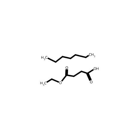 CCCCCCC.CCOC(=O)CCC(=O)O